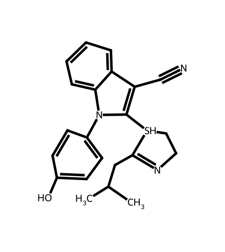 CC(C)CC1=NCC[SH]1c1c(C#N)c2ccccc2n1-c1ccc(O)cc1